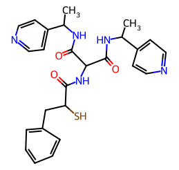 CC(NC(=O)C(NC(=O)C(S)Cc1ccccc1)C(=O)NC(C)c1ccncc1)c1ccncc1